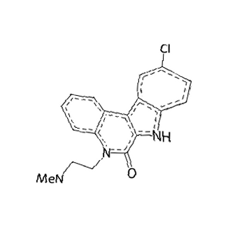 CNCCn1c(=O)c2[nH]c3ccc(Cl)cc3c2c2ccccc21